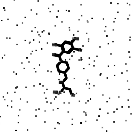 CC(C)C[C@H](NCC1CCN(C(=O)c2cc(C(C)C)c(O)cc2O)CC1)C(=O)O